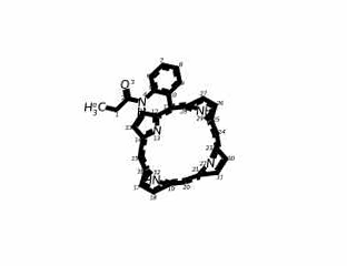 CCC(=O)Nc1ccccc1-c1c2nc(cc3ccc(cc4nc(cc5ccc1[nH]5)C=C4)[nH]3)C=C2